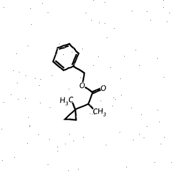 CC(C(=O)OCc1ccccc1)C1(C)CC1